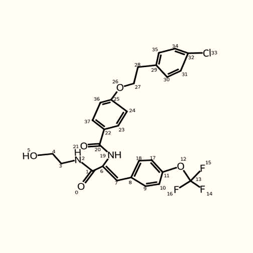 O=C(NCCO)C(=Cc1ccc(OC(F)(F)F)cc1)NC(=O)c1ccc(OCCc2ccc(Cl)cc2)cc1